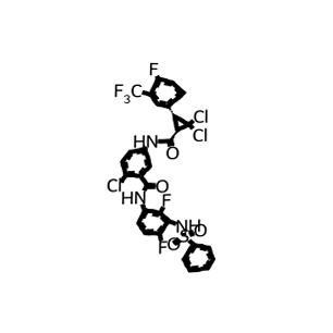 O=C(Nc1ccc(F)c(NS(=O)(=O)c2ccccc2)c1F)c1cc(NC(=O)[C@H]2[C@H](c3ccc(F)c(C(F)(F)F)c3)C2(Cl)Cl)ccc1Cl